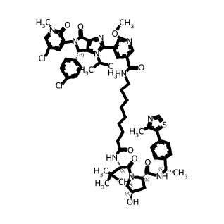 COc1ncc(C(=O)NCCCCCCCCC(=O)N[C@H](C(=O)N2C[C@H](O)C[C@H]2C(=O)N[C@@H](C)c2ccc(-c3scnc3C)cc2)C(C)(C)C)cc1-c1nc2c(n1C(C)C)[C@H](c1ccc(Cl)cc1)N(c1cc(Cl)cn(C)c1=O)C2=O